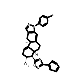 C[C@]12Cc3cnn(-c4ccc(F)cc4)c3C=C1CC[C@H]1C2=CC[C@@H](C(F)(F)F)[C@@H]1c1nc(-c2ccccc2)no1